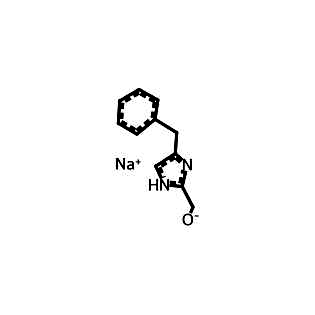 [Na+].[O-]Cc1nc(Cc2ccccc2)c[nH]1